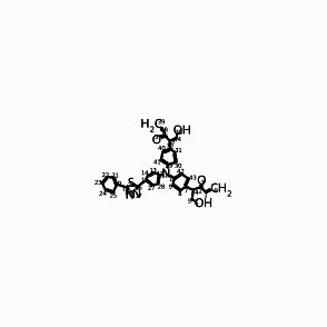 C=CC(=O)C(CO)c1ccc(N(c2ccc(-c3nnc(-c4ccccc4)s3)cc2)c2ccc(C(CO)C(=O)C=C)cc2)cc1